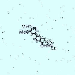 CCn1cnc(N2Cc3cc(-c4cnc(OC)c(OC)c4)ccc3C2O)n1